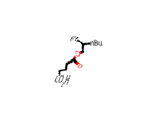 CCCCC(CC)COC(=O)CCCC(=O)O